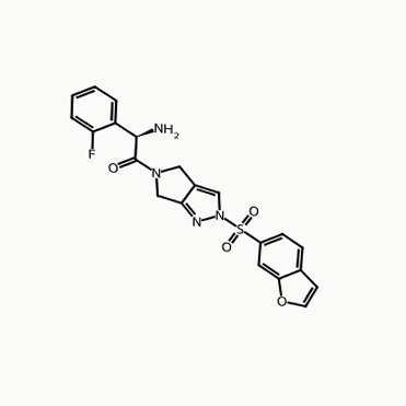 N[C@@H](C(=O)N1Cc2cn(S(=O)(=O)c3ccc4ccoc4c3)nc2C1)c1ccccc1F